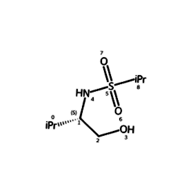 CC(C)[C@@H](CO)NS(=O)(=O)C(C)C